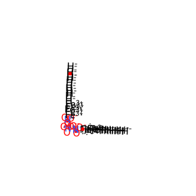 O=[N+]([O-])[O-].O=[N+]([O-])[O-].O=[N+]([O-])[O-].[Fe+3].[Fe+3].[Fe+3].[Fe+3].[Fe+3].[Fe+3].[Fe+3].[Fe+3].[Fe+3].[Fe+3].[H-].[H-].[H-].[H-].[H-].[H-].[H-].[H-].[H-].[H-].[H-].[H-].[H-].[H-].[H-].[H-].[H-].[H-].[H-].[H-].[H-].[H-].[H-].[H-].[H-].[H-].[H-]